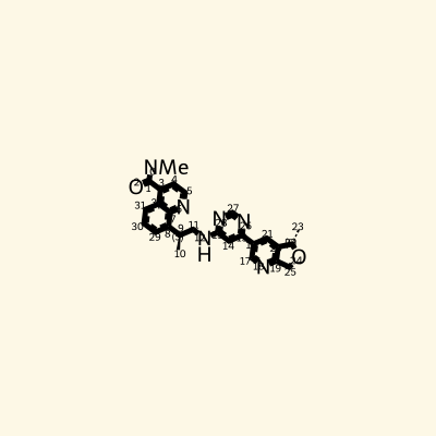 CNC(=O)c1ccnc2c([C@H](C)CNc3cc(-c4cnc5c(c4)[C@H](C)OC5)ncn3)cccc12